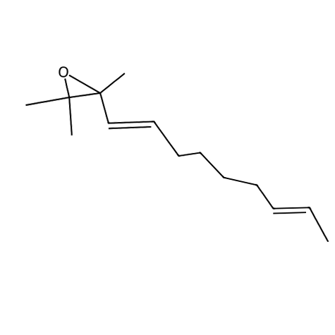 CC=CCCCCC=CC1(C)OC1(C)C